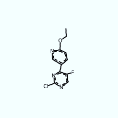 CCOc1ccc(-c2nc(Cl)ncc2F)cn1